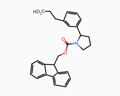 O=C(O)CCc1cccc(C2CCCN2C(=O)OCC2c3ccccc3-c3ccccc32)c1